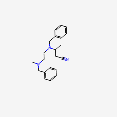 CC(CC#N)N(CCN(C)Cc1ccccc1)Cc1ccccc1